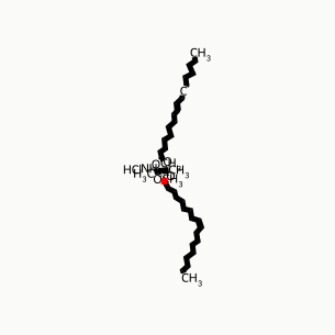 CCCCCCCCC=CCCCCCCCC(=O)OC(C)(OC(=O)CCCCCCC/C=C\CCCCCCCC)C(C)(C)C.Cl.N